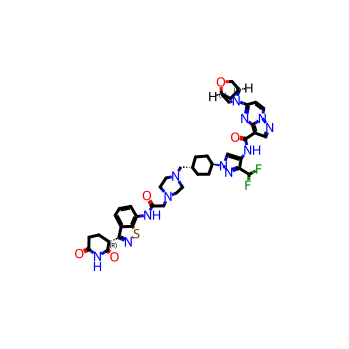 O=C1CC[C@H](c2nsc3c(NC(=O)CN4CCN(C[C@H]5CC[C@H](n6cc(NC(=O)c7cnn8ccc(N9C[C@@H]%10C[C@H]9CO%10)nc78)c(C(F)F)n6)CC5)CC4)cccc23)C(=O)N1